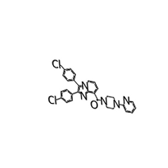 O=C(c1cccn2c(-c3ccc(Cl)cc3)c(-c3ccc(Cl)cc3)nc12)N1CCN(c2ccccn2)CC1